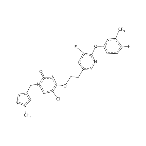 Cn1cc(Cn2cc(Cl)c(OCCc3cnc(Oc4ccc(F)c(C(F)(F)F)c4)c(F)c3)nc2=O)cn1